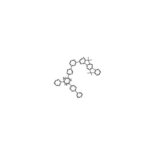 CC1(C)c2ccccc2-c2cc3c(cc21)-c1cc(-c2cccc(-c4ccc(-c5nc(-c6ccccc6)nc(-c6ccc(-c7ccccc7)cc6)n5)cc4)c2)ccc1C3(C)C